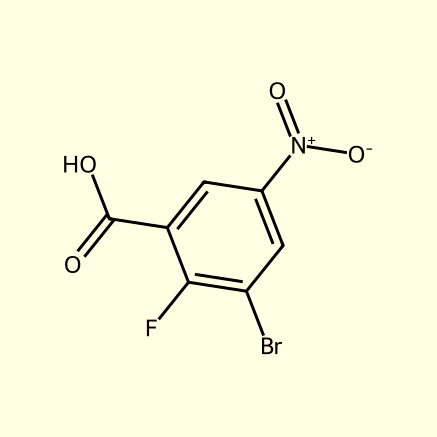 O=C(O)c1cc([N+](=O)[O-])cc(Br)c1F